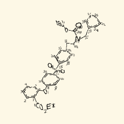 CCOC(=O)c1ccccc1Oc1ccc(S(=O)(=O)c2ccc(CCN(Cc3ccccc3)C(=O)OC(C)(C)C)cc2)cc1